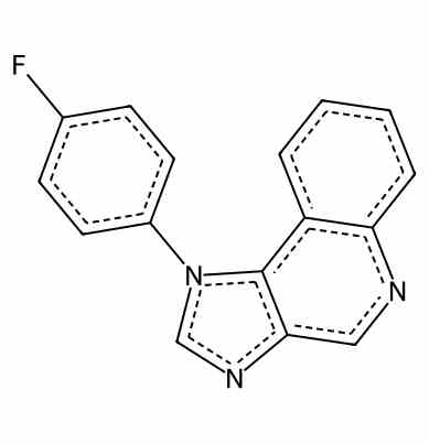 Fc1ccc(-n2cnc3cnc4ccccc4c32)cc1